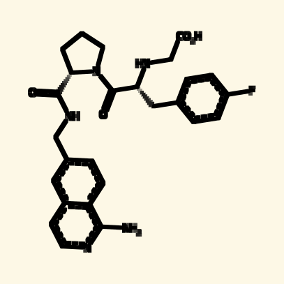 Nc1nccc2cc(CNC(=O)[C@@H]3CCCN3C(=O)[C@@H](Cc3ccc(F)cc3)NCC(=O)O)ccc12